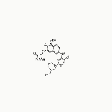 CCCCn1c(=O)c(OCC(=O)NC)cc2cc(Nc3nc(N4CCCC(CI)C4)ncc3Cl)ccc21